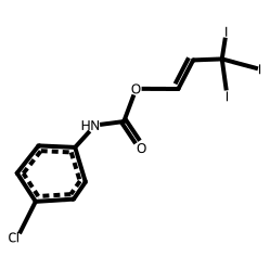 O=C(Nc1ccc(Cl)cc1)OC=CC(I)(I)I